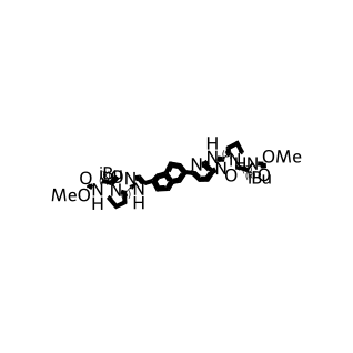 CC[C@@H](C)[C@H](NC(=O)OC)C(=O)N1CCC[C@H]1c1ncc(-c2ccc3cc(-c4ccc5nc([C@@H]6CCCN6C(=O)[C@@H](NC(=O)OC)[C@H](C)CC)[nH]c5n4)ccc3c2)[nH]1